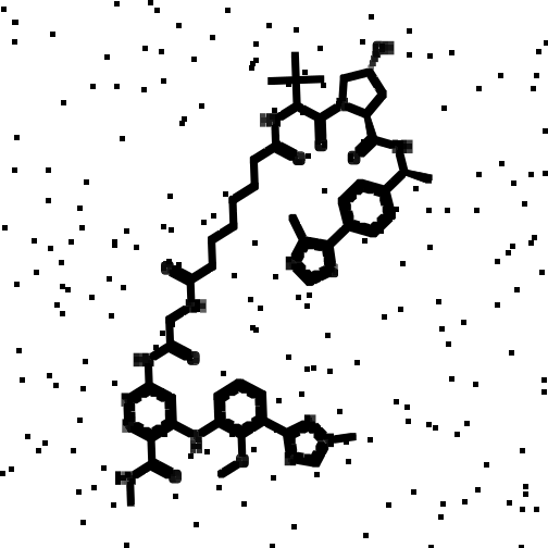 CNC(=O)c1nnc(NC(=O)CNC(=O)CCCCCCC(=O)NC(C(=O)N2C[C@H](O)C[C@H]2C(=O)N[C@@H](C)c2ccc(-c3scnc3C)cc2)C(C)(C)C)cc1Nc1cccc(-c2ncn(C)n2)c1OC